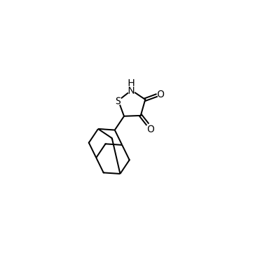 O=C1NSC(C2C3CC4CC(C3)CC2C4)C1=O